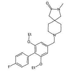 CCOc1cc(CN2CCC3(CC2)CC(=O)N(C)C3)cc(OCC)c1-c1ccc(F)cc1